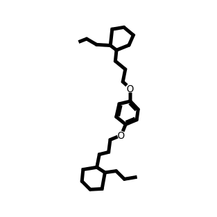 CCCC1CCCCC1CCCOc1ccc(OCCCC2CCCCC2CCC)cc1